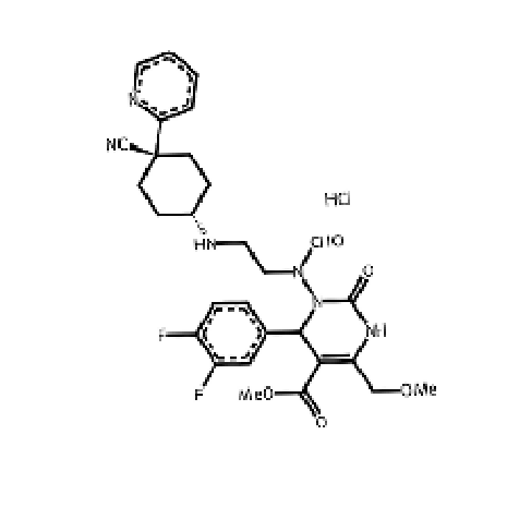 COCC1=C(C(=O)OC)C(c2ccc(F)c(F)c2)N(N(C=O)CCN[C@H]2CC[C@@](C#N)(c3ccccn3)CC2)C(=O)N1.Cl